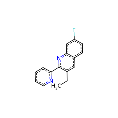 CCc1cc2ccc(F)cc2nc1-c1ccccn1